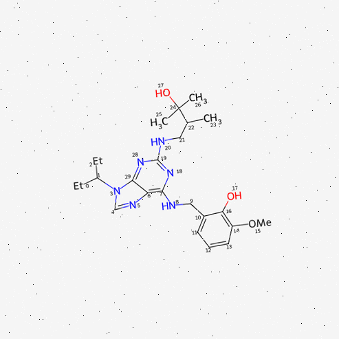 CCC(CC)n1cnc2c(NCc3cccc(OC)c3O)nc(NCC(C)C(C)(C)O)nc21